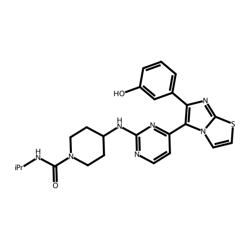 CC(C)NC(=O)N1CCC(Nc2nccc(-c3c(-c4cccc(O)c4)nc4sccn34)n2)CC1